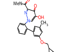 CNC(=O)c1nn(-c2ccccc2-c2cc(C)cc(OCC3CC3)c2)cc(O)c1=O